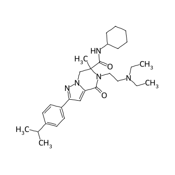 CCN(CC)CCN1C(=O)c2cc(-c3ccc(C(C)C)cc3)nn2CC1(C)C(=O)NC1CCCCC1